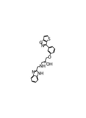 O[C@H](CNCc1nc2ccccc2[nH]1)COc1cccc(-c2noc3ccsc23)c1